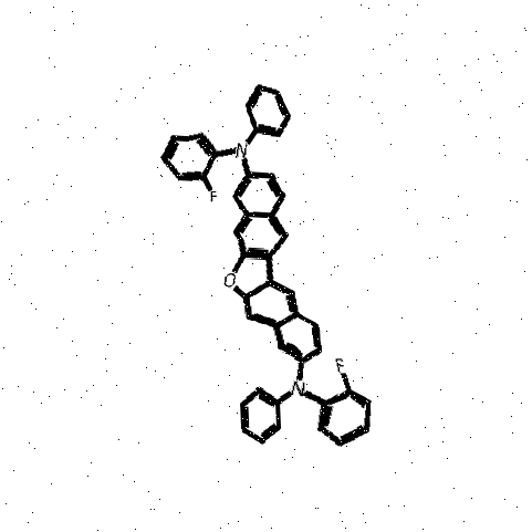 Fc1ccccc1N(c1ccccc1)c1ccc2c(c1)=CC1Oc3cc4cc(N(c5ccccc5)c5ccccc5F)ccc4cc3C1C=2